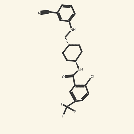 N#Cc1cccc(NC[C@H]2CC[C@H](NC(=O)c3cc(C(F)(F)F)ccc3Cl)CC2)c1